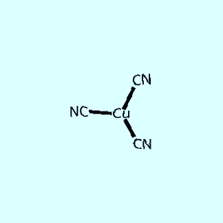 N#[C][Cu]([C]#N)[C]#N